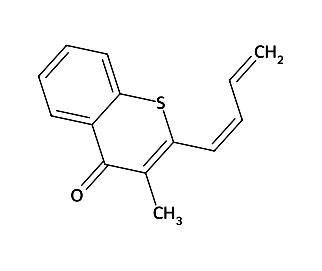 C=C/C=C\c1sc2ccccc2c(=O)c1C